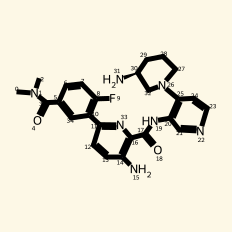 CN(C)C(=O)c1ccc(F)c(-c2ccc(N)c(C(=O)Nc3cnccc3N3CCC[C@H](N)C3)n2)c1